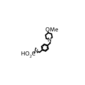 COC1CCN(Cc2ccc(CN(C)C(=O)O)cc2)CC1